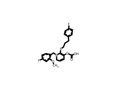 COc1cc(F)ccc1CN1CC=CC(OC(=O)O)=C1SCCCc1ccc(F)cc1